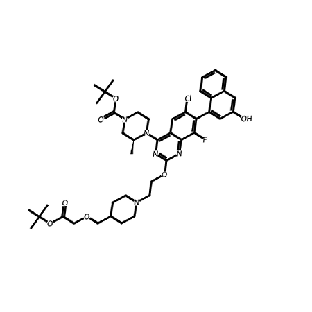 C[C@H]1CN(C(=O)OC(C)(C)C)CCN1c1nc(OCCN2CCC(COCC(=O)OC(C)(C)C)CC2)nc2c(F)c(-c3cc(O)cc4ccccc34)c(Cl)cc12